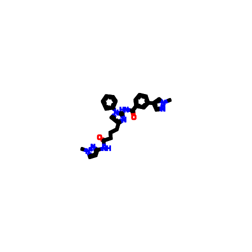 Cn1cc(-c2cccc(C(=O)Nc3nc(CCCC(=O)Nc4ccn(C)n4)cn3-c3ccccc3)c2)cn1